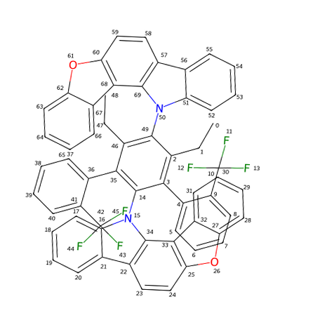 CCc1c(-c2ccccc2C(F)(F)F)c(-n2c3ccccc3c3ccc4oc5ccccc5c4c32)c(-c2ccccc2C(F)(F)F)c(CC)c1-n1c2ccccc2c2ccc3oc4ccccc4c3c21